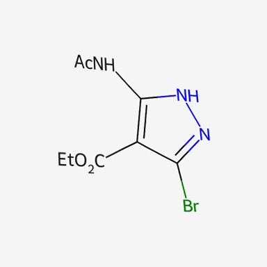 CCOC(=O)c1c(Br)n[nH]c1NC(C)=O